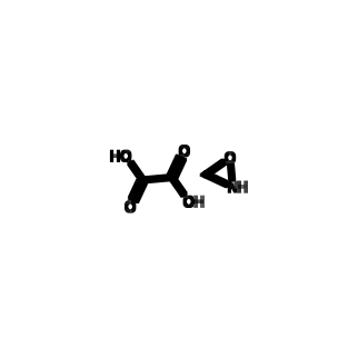 C1NO1.O=C(O)C(=O)O